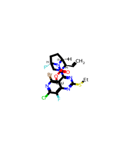 C=C[C@@H]1[C@@H]2CC[C@](F)(CN1c1nc(SCC)nc3c(F)c(Cl)nc(Br)c13)N2C(=O)OC(C)(C)C